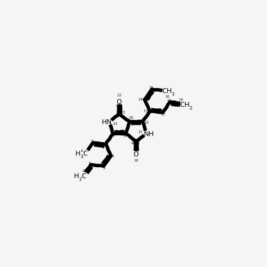 C=C/C=C\C(=C/C)C1=C2C(=O)NC(C(/C=C\C)=C/C=C)=C2C(=O)N1